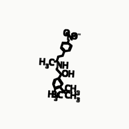 CC(CCc1ccc([N+](=O)[O-])cc1)NCC(O)c1ccc(Br)c(C(C)(C)C)c1